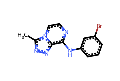 Cc1nnc2c(Nc3cccc(Br)c3)nccn12